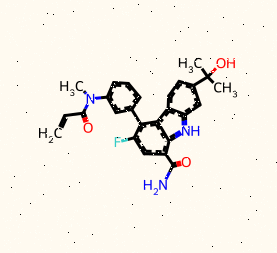 C=CC(=O)N(C)c1cccc(-c2c(F)cc(C(N)=O)c3[nH]c4cc(C(C)(C)O)ccc4c23)c1